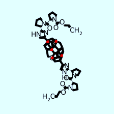 C=CCOC(=O)N1CCC[C@H]1C(=O)N1CCC[C@H]1c1nc(-c2ccc(-c3cc4ccc3CCc3ccc(c(-c5ccc(-c6c[nH]c([C@@H]7CCCN7C(=O)[C@@H]7CCCN7C(=O)OCC=C)n6)cc5)c3)CC4)cc2)c[nH]1